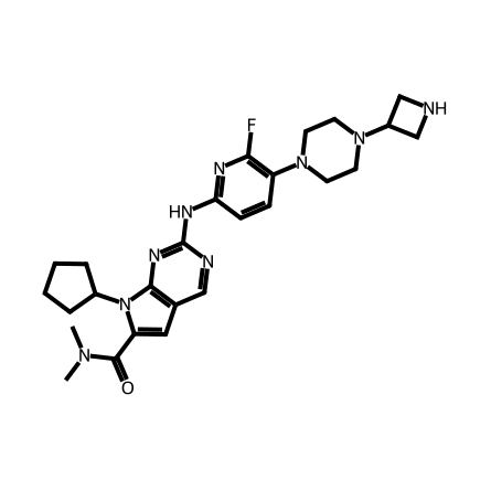 CN(C)C(=O)c1cc2cnc(Nc3ccc(N4CCN(C5CNC5)CC4)c(F)n3)nc2n1C1CCCC1